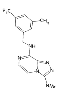 CNc1nnc2c(NCc3cc(C)cc(C(F)(F)F)c3)nccn12